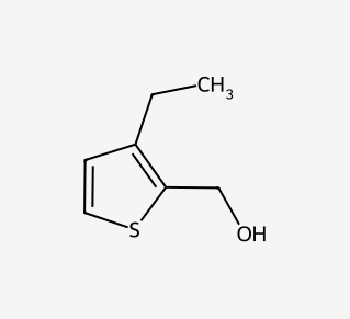 CCc1ccsc1CO